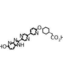 O=C(O)C[C@H]1CC[C@H](Oc2ccc(-c3cnc(-c4nc5nc(O)ccc5[nH]4)cn3)cn2)CC1